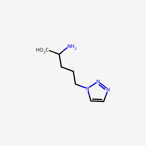 NC(CCCn1ccnn1)C(=O)O